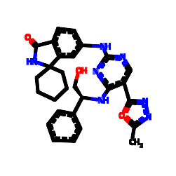 Cc1nnc(-c2cnc(Nc3ccc4c(c3)C3(CCCCC3)NC4=O)nc2N[C@H](CO)c2ccccc2)o1